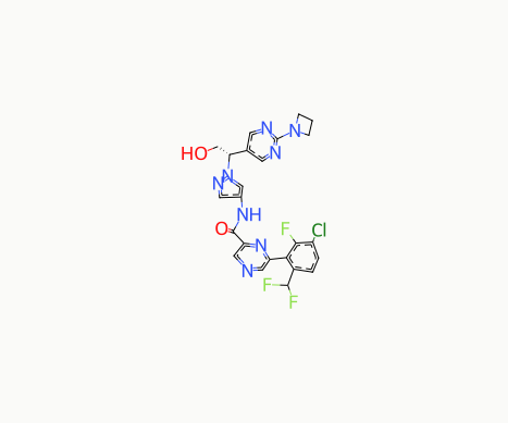 O=C(Nc1cnn([C@H](CO)c2cnc(N3CCC3)nc2)c1)c1cncc(-c2c(C(F)F)ccc(Cl)c2F)n1